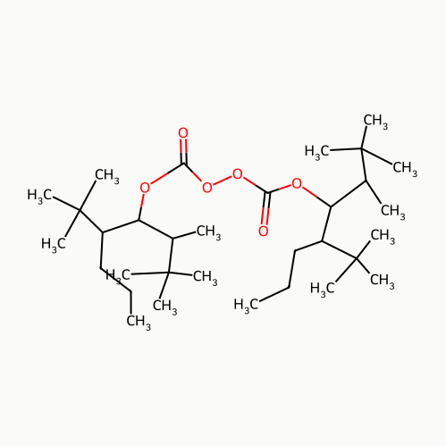 CCCC(C(OC(=O)OOC(=O)OC(C(C)C(C)(C)C)C(CCC)C(C)(C)C)C(C)C(C)(C)C)C(C)(C)C